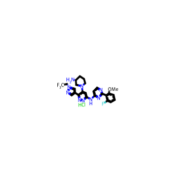 COc1cccc(F)c1-c1nccc(Nc2cc(N3CCC[C@H](N)C3)c(-c3cnn(CC(F)(F)F)c3)nn2)n1.Cl